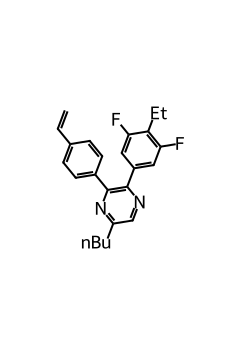 C=Cc1ccc(-c2nc(CCCC)cnc2-c2cc(F)c(CC)c(F)c2)cc1